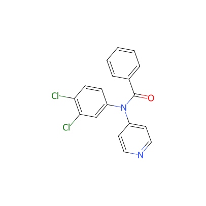 O=C(c1ccccc1)N(c1ccncc1)c1ccc(Cl)c(Cl)c1